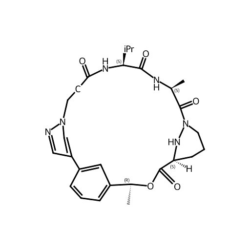 CC(C)[C@@H]1NC(=O)CCn2cc(cn2)-c2cccc(c2)[C@@H](C)OC(=O)[C@@H]2CCCN(N2)C(=O)[C@H](C)NC1=O